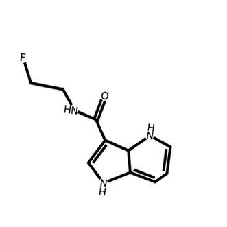 O=C(NCCF)C1=CNC2=CC=CNC21